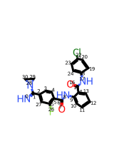 N=C(c1ccc(C(=O)Nc2ccccc2C(=O)Nc2ccc(Cl)cc2)c(F)c1)N1CC1